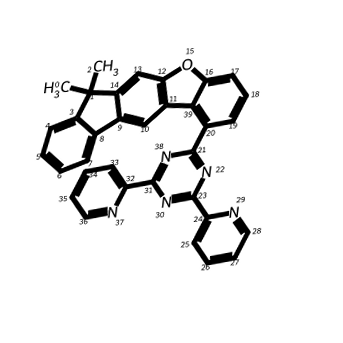 CC1(C)c2ccccc2-c2cc3c(cc21)oc1cccc(-c2nc(-c4ccccn4)nc(-c4ccccn4)n2)c13